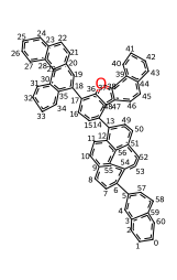 c1ccc2cc(-c3ccc4ccc5c(-c6ccc(-c7cc8ccc9ccccc9c8c8ccccc78)c7oc8c9ccccc9ccc8c67)ccc6ccc3c4c65)ccc2c1